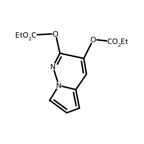 CCOC(=O)Oc1cc2cccn2nc1OC(=O)OCC